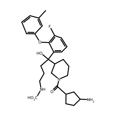 Cc1cccc(Oc2c(F)cccc2C(O)(CCCNC(=O)O)C2CCCN(C(=O)C3CCC(N)C3)C2)c1